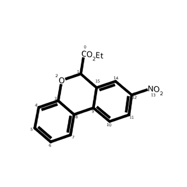 CCOC(=O)C1Oc2ccccc2-c2ccc([N+](=O)[O-])cc21